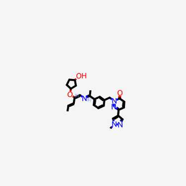 CC=C/C(=C\N=C(/C)c1cccc(Cn2nc(-c3cnn(C)c3)ccc2=O)c1)OC1CCC(O)C1